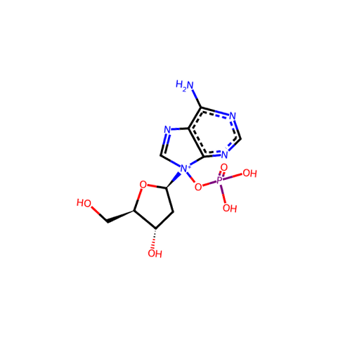 Nc1ncnc2c1N=C[N+]2(OP(=O)(O)O)[C@H]1C[C@H](O)[C@@H](CO)O1